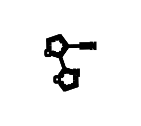 N#Cc1ccoc1-c1ncco1